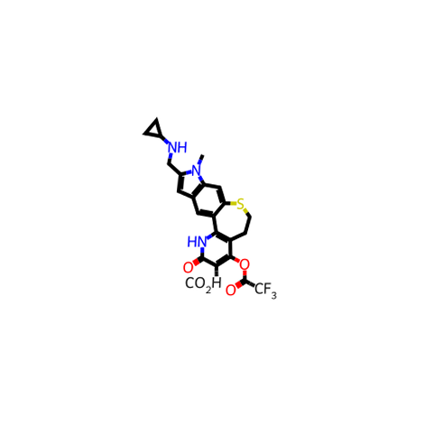 Cn1c(CNC2CC2)cc2cc3c(cc21)SCCc1c-3[nH]c(=O)c(C(=O)O)c1OC(=O)C(F)(F)F